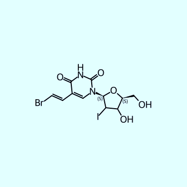 O=c1[nH]c(=O)n([C@H]2O[C@@H](CO)C(O)C2I)cc1C=CBr